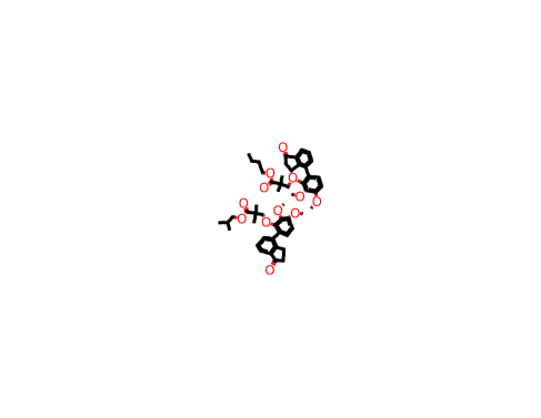 CCCCOC(=O)C(C)(C)COc1c(-c2cccc3c2CCC3=O)ccc(OC)c1OC.COc1ccc(-c2cccc3c2CCC3=O)c(OCC(C)(C)C(=O)OCC(C)C)c1OC